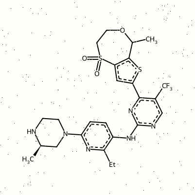 CCc1nc(N2CCN[C@H](C)C2)ccc1Nc1ncc(C(F)(F)F)c(-c2cc3c(s2)C(C)OCCS3(=O)=O)n1